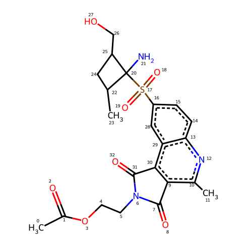 CC(=O)OCCN1C(=O)c2c(C)nc3ccc(S(=O)(=O)C4(N)C(C)CC4CO)cc3c2C1=O